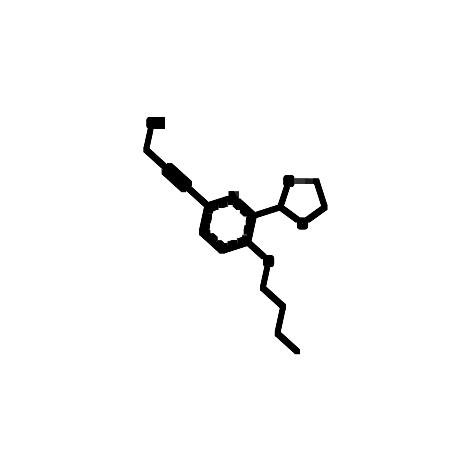 CCCCOc1ccc(C#CCO)nc1C1OCCO1